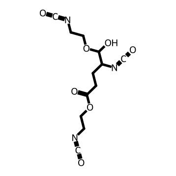 O=C=NCCOC(=O)CCC(N=C=O)C(O)OCCN=C=O